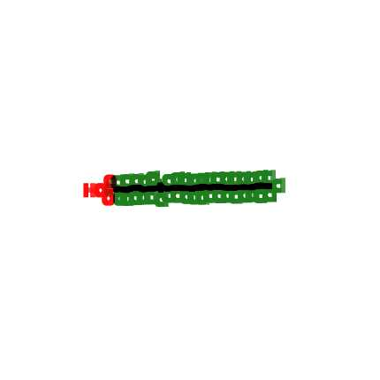 O=S(=O)(O)C(Cl)(Cl)C(Cl)(Cl)C(Cl)(Cl)C(Cl)(Cl)C(Cl)(Cl)C(Cl)(Cl)C(Cl)(Cl)C(Cl)(Cl)C(Cl)(Cl)C(Cl)(Cl)C(Cl)(Cl)C(Cl)(Cl)C(Cl)(Cl)C(Cl)(Cl)C(Cl)(Cl)C(Cl)(Cl)C(Cl)(Cl)C(Cl)(Cl)C(Cl)(Cl)Cl